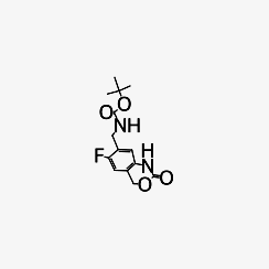 CC(C)(C)OC(=O)NCc1cc2c(cc1F)COC(=O)N2